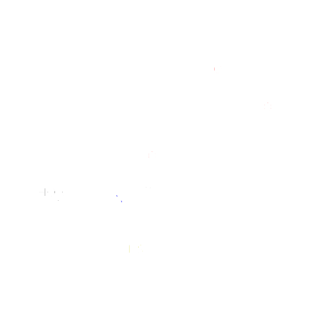 O=C(O)CNC(=O)C(CS)Cc1ccc2c(c1)OCCO2